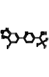 OC(c1ccc(-c2cc(F)c3nonc3c2)nc1)C(F)(F)F